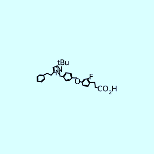 CC(C)(C)c1cc(CCc2ccccc2)n(Cc2ccc(COc3ccc(CCC(=O)O)c(F)c3)cc2)n1